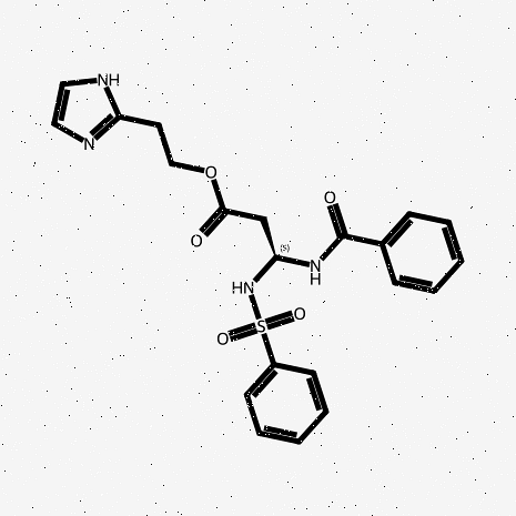 O=C(C[C@@H](NC(=O)c1ccccc1)NS(=O)(=O)c1ccccc1)OCCc1ncc[nH]1